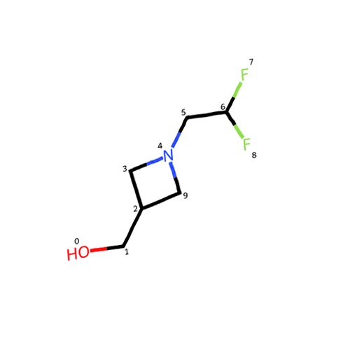 OCC1CN(CC(F)F)C1